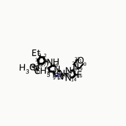 CCc1cc(Nc2ccc(/C=N\Nc3ncc(F)c(N4CCOCC4)n3)nc2)cc(N(C)C)c1